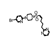 O=S(=O)(/C=C\CCCc1ncccn1)N1CCN(c2ccc(Br)cn2)CC1